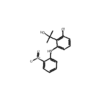 CC(C)(O)c1c(Cl)cccc1Nc1ccccc1[N+](=O)[O-]